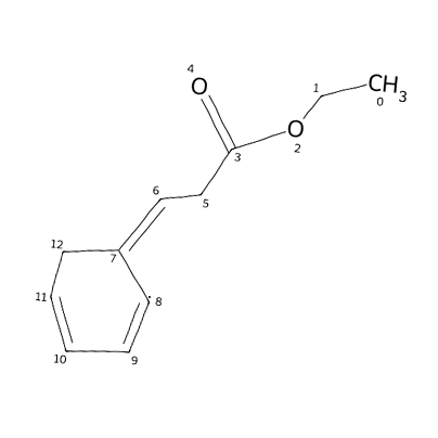 CCOC(=O)CC=C1[C]=CC=CC1